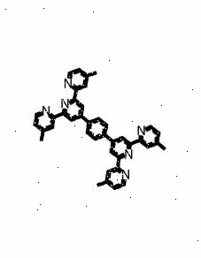 Cc1ccnc(-c2cc(-c3ccc(-c4cc(-c5cc(C)ccn5)nc(-c5cc(C)ccn5)c4)cc3)cc(-c3cc(C)ccn3)n2)c1